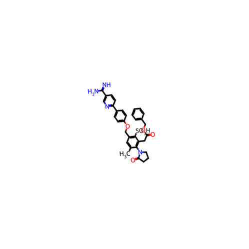 Cc1cc(COc2ccc(-c3ccc(C(=N)N)cn3)cc2)c(S(=O)(=O)O)c(CC(=O)OCc2ccccc2)c1N1CCCC1=O